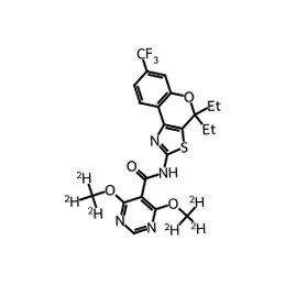 [2H]C([2H])([2H])Oc1ncnc(OC([2H])([2H])[2H])c1C(=O)Nc1nc2c(s1)C(CC)(CC)Oc1cc(C(F)(F)F)ccc1-2